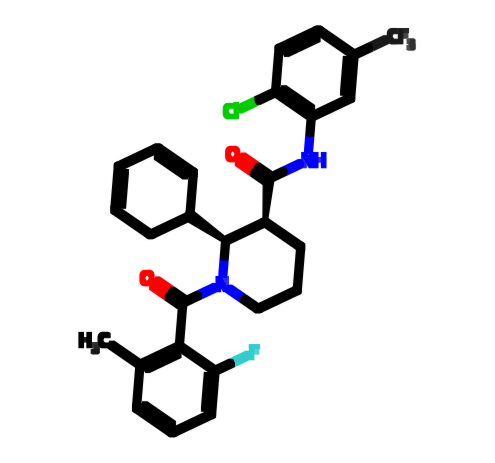 Cc1cccc(F)c1C(=O)N1CCC[C@H](C(=O)Nc2cc(C(F)(F)F)ccc2Cl)[C@@H]1C1C=CC=CC1